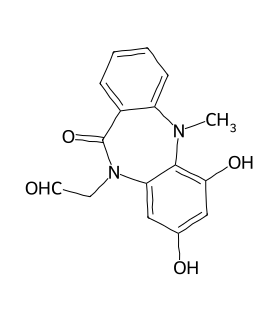 CN1c2ccccc2C(=O)N(CC=O)c2cc(O)cc(O)c21